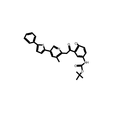 Cc1cc(-c2ccc(-c3ccccc3)s2)cnc1CC(=O)c1cc(NC(=O)OC(C)(C)C)ccc1Cl